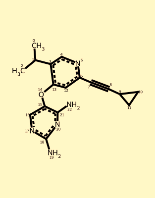 CC(C)c1cnc(C#CC2CC2)cc1Oc1cnc(N)nc1N